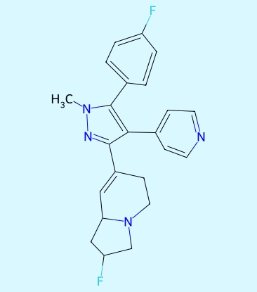 Cn1nc(C2=CC3CC(F)CN3CC2)c(-c2ccncc2)c1-c1ccc(F)cc1